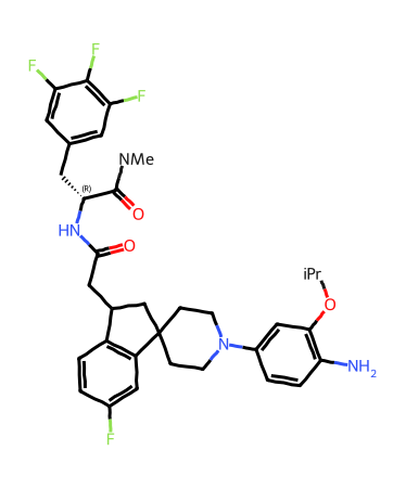 CNC(=O)[C@@H](Cc1cc(F)c(F)c(F)c1)NC(=O)CC1CC2(CCN(c3ccc(N)c(OC(C)C)c3)CC2)c2cc(F)ccc21